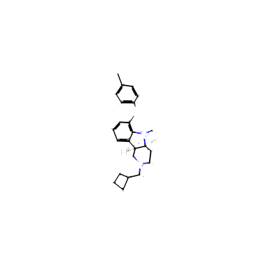 Cc1ccc(Sc2cccc3c2N(C)[C@H]2CCN(CC4CCC4)C[C@H]32)cc1